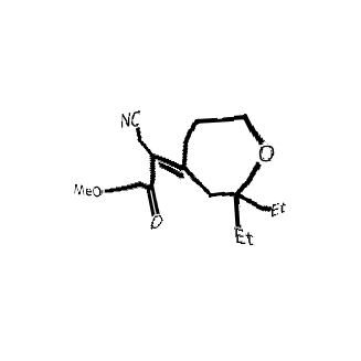 CCC1(CC)CC(=C(C#N)C(=O)OC)CCO1